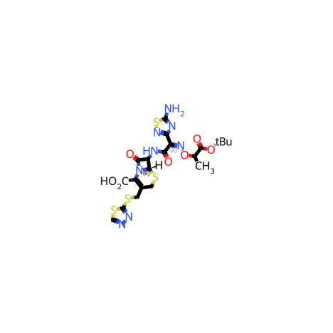 CC(O/N=C(\C(=O)NC1C(=O)N2C(C(=O)O)=C(CSc3nncs3)CS[C@H]12)c1nsc(N)n1)C(=O)OC(C)(C)C